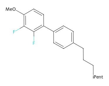 CCCC(C)CCCc1ccc(-c2ccc(OC)c(F)c2F)cc1